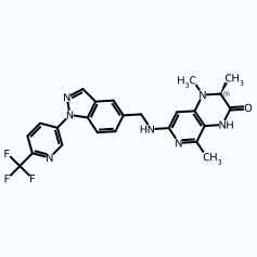 Cc1nc(NCc2ccc3c(cnn3-c3ccc(C(F)(F)F)nc3)c2)cc2c1NC(=O)[C@H](C)N2C